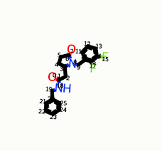 O=C(CC1CCC(=O)N1Cc1cccc(F)c1F)NCc1ccccc1